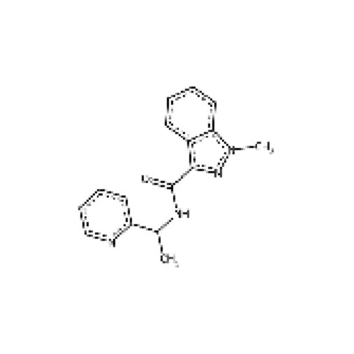 CC(NC(=O)c1nn(C)c2ccccc12)c1ccccn1